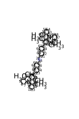 CC1(C)c2ccccc2N2c3ccccc3C(C)(C)c3cc(-c4ccc5cc(/C=C/c6ccc7cc(-c8cc9c%10c(c8)C(C)(C)c8ccccc8N%10c8ccccc8C9(C)C)ccc7c6)ccc5c4)cc1c32